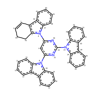 C1=Cc2c(n(-c3cc(-n4c5ccccc5c5ccccc54)nc(-n4c5ccccc5c5ccccc54)n3)c3ccccc23)CC1